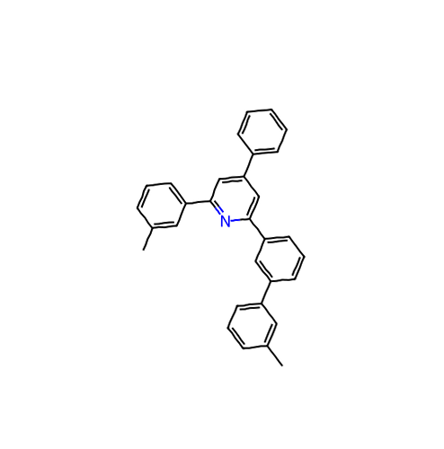 Cc1cccc(-c2cccc(-c3cc(-c4ccccc4)cc(-c4cccc(C)c4)n3)c2)c1